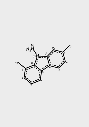 Cc1ccc2c3cccc(C)c3n(N)c2c1